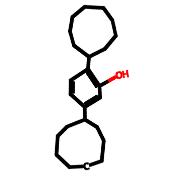 Oc1cc(C2CCCCCCCC2)ccc1C1CCCCCCCC1